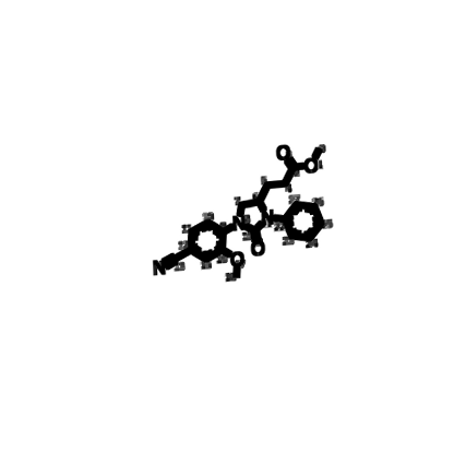 COC(=O)CCC1CN(c2ccc(C#N)cc2OC)C(=O)N1c1ccccc1